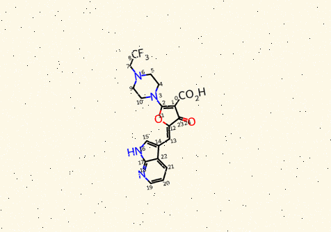 O=C(O)C1=C(N2CCN(CC(F)(F)F)CC2)OC(=Cc2c[nH]c3ncccc23)C1=O